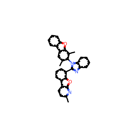 Cc1ccc2c(n1)oc1c(-c3nc4ccccc4n3-c3c(C)cc4c(oc5ccccc54)c3C)cccc12